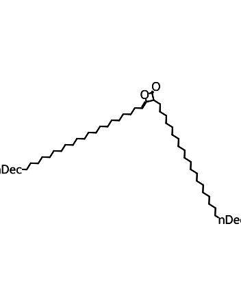 CCCCCCCCCCCCCCCCCCCCCCCCCCCCCC/C=C1\OC(=O)C1CCCCCCCCCCCCCCCCCCCCCCCCCCCCCC